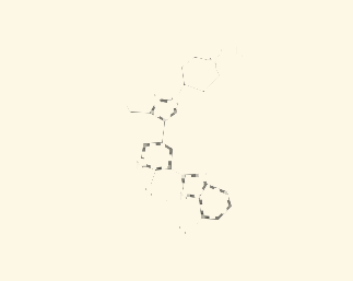 CN1CCC(n2cc(-c3cnc(N)c(-c4nc5c(C#N)cccc5o4)c3)c(CO)n2)CC1